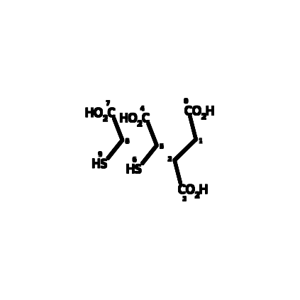 O=C(O)CCC(=O)O.O=C(O)CS.O=C(O)CS